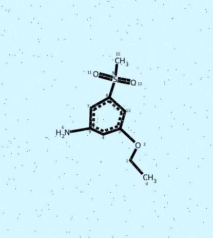 CCOc1cc(N)cc(S(C)(=O)=O)c1